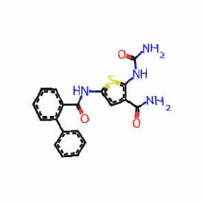 NC(=O)Nc1sc(NC(=O)c2ccccc2-c2ccccc2)cc1C(N)=O